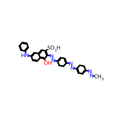 CN=NC1=CC=C(N=NC2=CC=C(N=Nc3c(S(=O)(=O)O)cc4cc(Nc5ccccc5)ccc4c3O)CC2)CC1